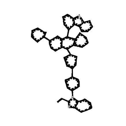 CCc1nc2ccccc2n1-c1ccc(-c2ccc(-c3c4ccccc4c(-c4cccc5sc6ccccc6c45)c4cc(-c5ccccc5)ccc34)cc2)cc1